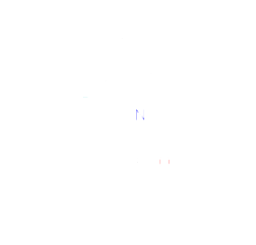 CC(C)C(=O)Cn1ccc2cccc(F)c21